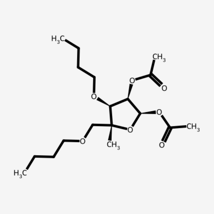 CCCCOC[C@@]1(C)O[C@H](OC(C)=O)[C@H](OC(C)=O)[C@@H]1OCCCC